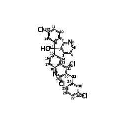 OC(c1cccnc1)(c1cccc(Cl)c1)c1ccc2nc(Cl)c(Cc3cccc(Cl)c3)c(Cl)c2c1